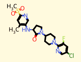 Cc1cc(S(C)(=O)=O)ncc1N[C@H]1CCN(C2CCN(c3ncc(Cl)cc3F)CC2)C1=O